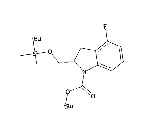 CC(C)(C)OC(=O)N1c2cccc(F)c2C[C@H]1CO[Si](C)(C)C(C)(C)C